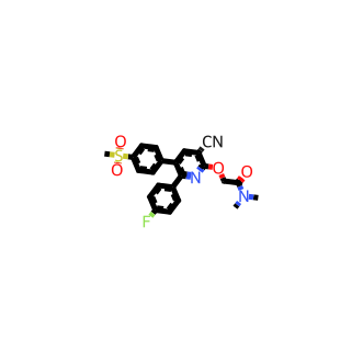 CN(C)C(=O)COc1nc(-c2ccc(F)cc2)c(-c2ccc(S(C)(=O)=O)cc2)cc1C#N